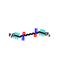 O=C(CCCCCCC(=O)NCCC(F)(F)C(F)(F)C(F)(F)C(F)(F)F)NCCC(F)(F)C(F)(F)C(F)(F)C(F)(F)F